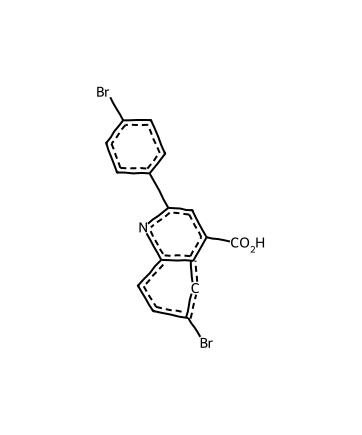 O=C(O)c1cc(-c2ccc(Br)cc2)nc2ccc(Br)cc12